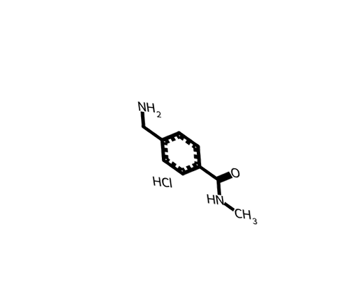 CNC(=O)c1ccc(CN)cc1.Cl